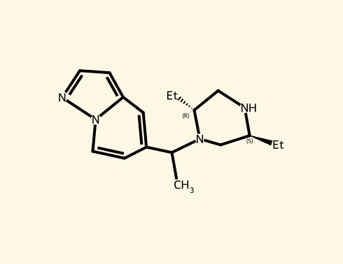 CC[C@H]1CN(C(C)c2ccn3nccc3c2)[C@H](CC)CN1